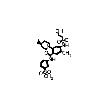 Cc1cc(C(=O)Nc2cccc(S(C)(=O)=O)c2)c(N2CCC3(CC2)CC3)cc1NS(=O)(=O)CCO